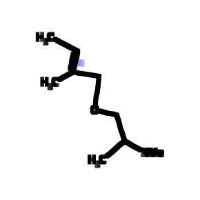 C/C=C(\C)COCC(C)NC